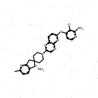 Cc1ccc2c(n1)CC1(CCN(c3cnc4nc(Sc5ccnc(N)c5Cl)ccc4n3)CC1)[C@@H]2N